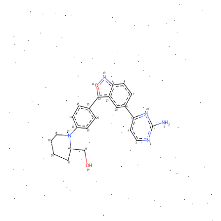 Nc1nccc(-c2ccc3noc(-c4ccc(N5CCCCC5CO)cc4)c3c2)n1